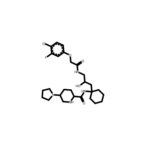 O=C(COc1ccc(Cl)c(F)c1)NCC(O)CC1(NC(=O)C2CCC(N3CCCC3)CN2)CCCCC1